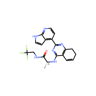 C[C@@H](Nc1nc(-c2ccnc3[nH]ccc23)nc2c1C=CCC2)C(=O)NCC(F)(F)F